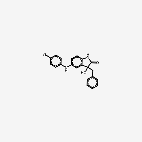 O=C1Nc2ccc(Nc3ccc(Cl)cc3)cc2C1(O)Cc1ccccc1